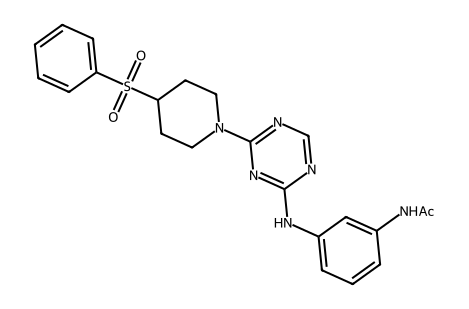 CC(=O)Nc1cccc(Nc2ncnc(N3CCC(S(=O)(=O)c4ccccc4)CC3)n2)c1